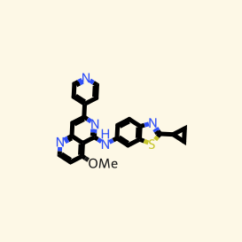 COc1ccnc2cc(-c3ccncc3)nc(Nc3ccc4nc(C5CC5)sc4c3)c12